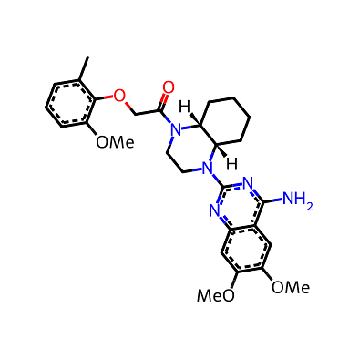 COc1cc2nc(N3CCN(C(=O)COc4c(C)cccc4OC)[C@@H]4CCCC[C@@H]43)nc(N)c2cc1OC